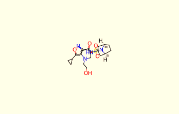 O=C(N[C@H]1C[C@H]2CC[C@@H](C1)N2S(=O)(=O)[C@@H]1CCCN(CCO)C1)c1cc(C2CC2)on1